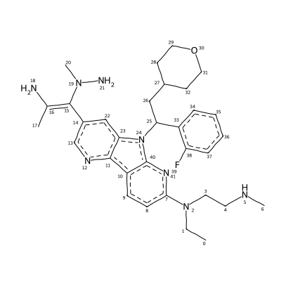 CCN(CCNC)c1ccc2c3ncc(/C(=C(\C)N)N(C)N)cc3n(C(CC3CCOCC3)c3ccccc3F)c2n1